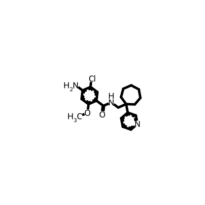 COc1cc(N)c(Cl)cc1C(=O)NCC1(c2cccnc2)CCCCCC1